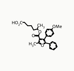 COc1ccc(-c2c(-c3ccccc3)oc(C)c2C(=O)OC(C)CCCCC(=O)O)cc1